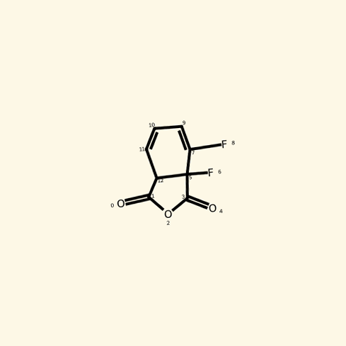 O=C1OC(=O)C2(F)C(F)=CC=CC12